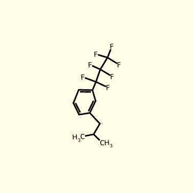 CC(C)[CH]c1cccc(C(F)(F)C(F)(F)C(F)(F)F)c1